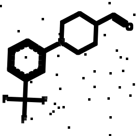 O=CC1CCN(c2cccc(C(F)(F)F)c2)CC1